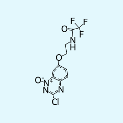 O=C(NCCOc1ccc2nc(Cl)n[n+]([O-])c2c1)C(F)(F)F